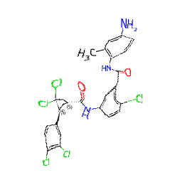 Cc1cc(N)ccc1NC(=O)c1cc(NC(=O)[C@@H]2[C@@H](c3ccc(Cl)c(Cl)c3)C2(Cl)Cl)ccc1Cl